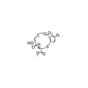 COC(=O)C1CSCc2ccc(OC)c(C)c2C(=O)OCCCC[C@@H](O)C(=O)N1